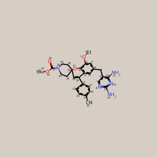 CCOc1cc(Cc2cnc(N)nc2N)cc2c1OC1(C=C2c2ccc(C#N)cc2)CCN(C(=O)OC(C)(C)C)CC1